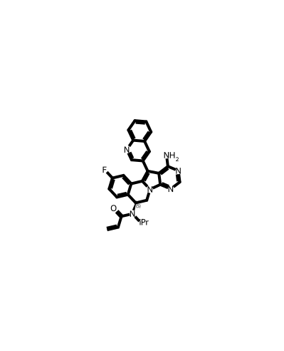 C=CC(=O)N(C(C)C)[C@@H]1Cn2c(c(-c3cnc4ccccc4c3)c3c(N)ncnc32)-c2cc(F)ccc21